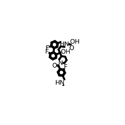 CNCc1ccc(C(=O)N2CCCC(C(O)(CCCNC(=O)O)c3cccc(F)c3-c3cc(C)ccc3F)C2)c(F)c1